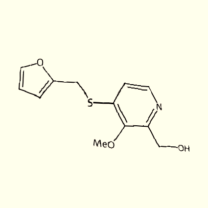 COc1c(SCc2ccco2)ccnc1CO